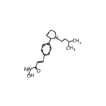 CC(C)CCN1CCCC1c1ccc(C=CC(=O)NO)cc1